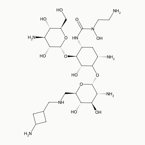 NCCN(O)C(=O)N[C@@H]1C[C@H](N)C(O[C@H]2O[C@H](CNCC3CC(N)C3)[C@@H](O)[C@H](O)[C@H]2N)[C@H](O)[C@H]1O[C@H]1O[C@H](CO)[C@@H](O)[C@H](N)[C@H]1O